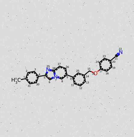 Cc1ccc(-c2cn3cc(-c4cccc(COc5ccc(C#N)cc5)c4)ccc3n2)cc1